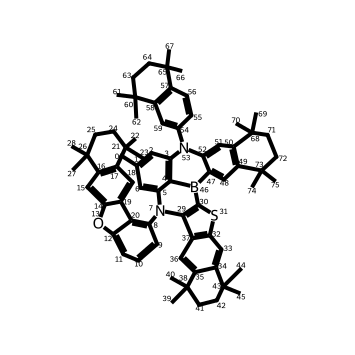 Cc1cc2c3c(c1)N(c1cccc4oc5cc6c(cc5c14)C(C)(C)CCC6(C)C)c1c(sc4cc5c(cc14)C(C)(C)CCC5(C)C)B3c1cc3c(cc1N2c1ccc2c(c1)C(C)(C)CCC2(C)C)C(C)(C)CCC3(C)C